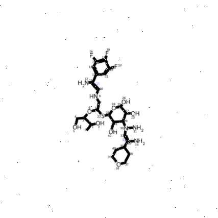 CC(O)C(CO)OC(CN/C=C(\N)c1cc(F)c(F)c(F)c1)SC1OC(O)C(O)C(N(N)/C=C(\N)C2CCOCC2)C1O